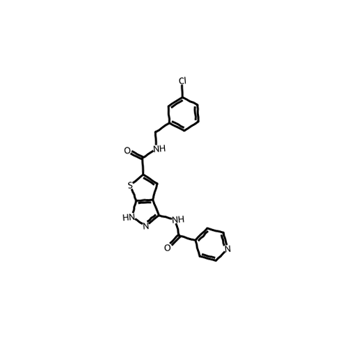 O=C(Nc1n[nH]c2sc(C(=O)NCc3cccc(Cl)c3)cc12)c1ccncc1